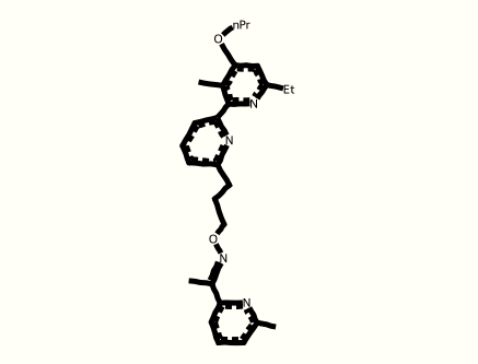 CCCOc1cc(CC)nc(-c2cccc(CCCO/N=C(\C)c3cccc(C)n3)n2)c1C